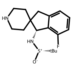 CC(C)(C)[S@+]([O-])N[C@H]1c2c(F)cccc2CC12CCNCC2